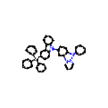 C1=CN2c3cc(-n4c5ccccc5c5cc([Si](c6ccccc6)(c6ccccc6)c6ccccc6)ccc54)ccc3N(c3ccccc3)N2C=C1